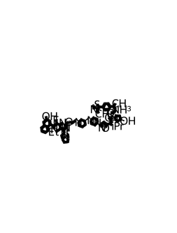 CCc1cccc2cc(O)cc(-c3ncc4c(N5CC6CCC(C5)N6)nc(OCCN5CCC[C@H](CN6CCN(c7cc(C(C(=O)N8C[C@H](O)C[C@H]8C(=O)NC(C)c8ccc(-c9scnc9C)cc8)C(C)C)on7)CC6)C5)nc4c3F)c12